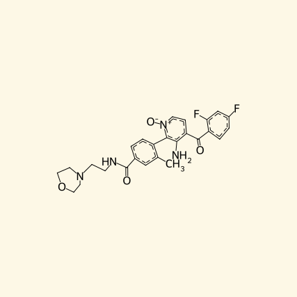 Cc1cc(C(=O)NCCN2CCOCC2)ccc1-c1c(N)c(C(=O)c2ccc(F)cc2F)cc[n+]1[O-]